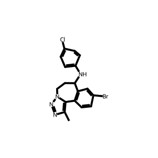 Cc1nnn2c1-c1ccc(Br)cc1C(Nc1ccc(Cl)cc1)CC2